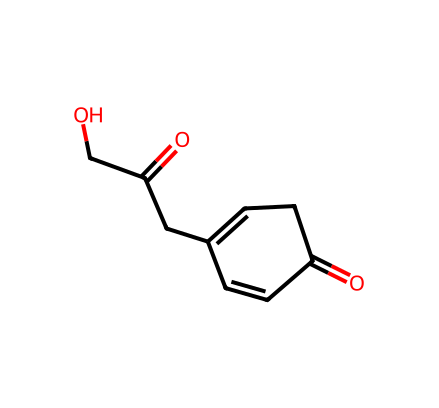 O=C1C=CC(CC(=O)CO)=CC1